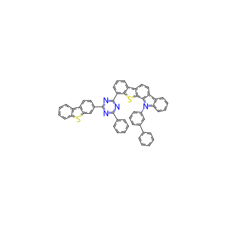 c1ccc(-c2cccc(-n3c4ccccc4c4ccc5c6cccc(-c7nc(-c8ccccc8)nc(-c8ccc9c(c8)sc8ccccc89)n7)c6sc5c43)c2)cc1